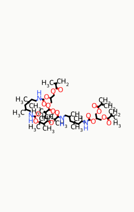 C=C(C)C(=O)OCC(COC(=O)C(=C)C)OC(=O)NCCC(C)(C)CC(C)CNC(=O)OC(C)(C)C(C)COC(C)(C)C(=O)NCC(C)CC(C)(C)CCNC(=O)OC(COC(=O)C(=C)C)COC(=O)C(=C)C